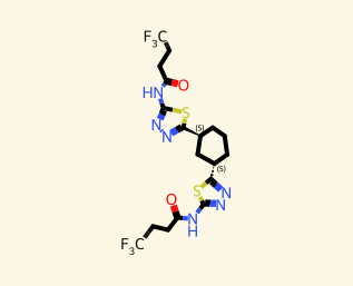 O=C(CCC(F)(F)F)Nc1nnc([C@H]2CCC[C@H](c3nnc(NC(=O)CCC(F)(F)F)s3)C2)s1